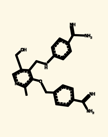 Cc1ncc(CO)c(CNc2ccc(C(=N)N)cc2)c1OCc1ccc(C(=N)N)cc1